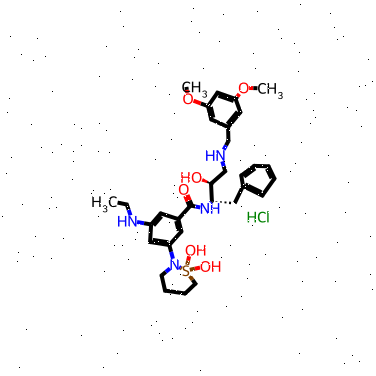 CCNc1cc(C(=O)N[C@@H](Cc2ccccc2)[C@@H](O)CNCc2cc(OC)cc(OC)c2)cc(N2CCCCS2(O)O)c1.Cl